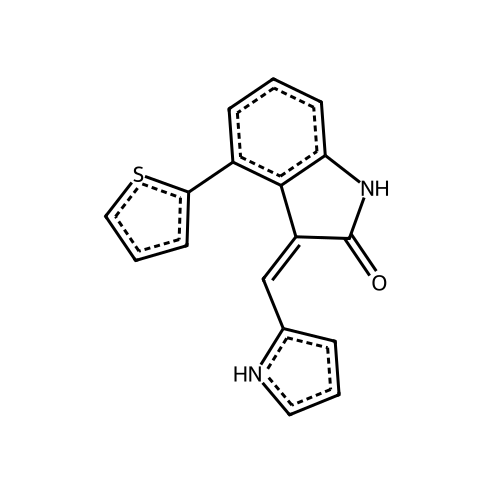 O=C1Nc2cccc(-c3cccs3)c2/C1=C/c1ccc[nH]1